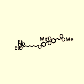 CCOP(=O)(CCCCCCCCOc1ccc(C(=O)Oc2ccc(/C=C/C(=O)OC)cc2OC)cc1)OCC